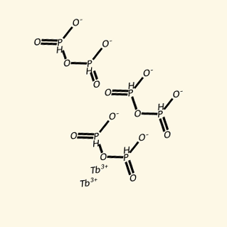 O=[PH]([O-])O[PH](=O)[O-].O=[PH]([O-])O[PH](=O)[O-].O=[PH]([O-])O[PH](=O)[O-].[Tb+3].[Tb+3]